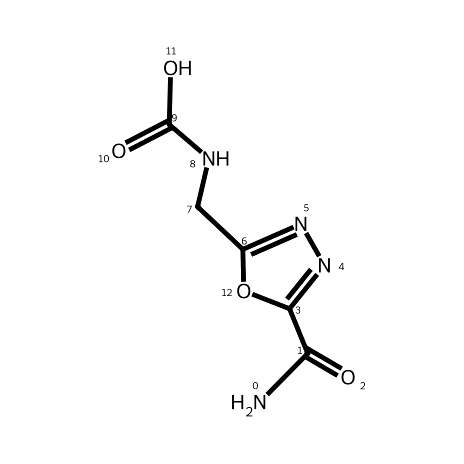 NC(=O)c1nnc(CNC(=O)O)o1